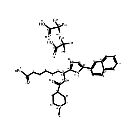 CCCC(=O)CCCCC[C@H](NC(=O)C1CCN(C)CC1)c1ncc(-c2ccc3ccccc3c2)[nH]1.O=C(O)C(F)(F)F.O=C(O)C(F)(F)F